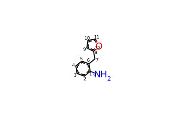 Nc1ccccc1Cc1ccco1